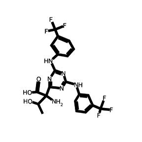 CC(O)C(N)(C(=O)O)c1nc(Nc2cccc(C(F)(F)F)c2)nc(Nc2cccc(C(F)(F)F)c2)n1